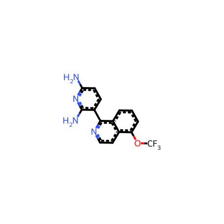 Nc1ccc(-c2nccc3c(OC(F)(F)F)cccc23)c(N)n1